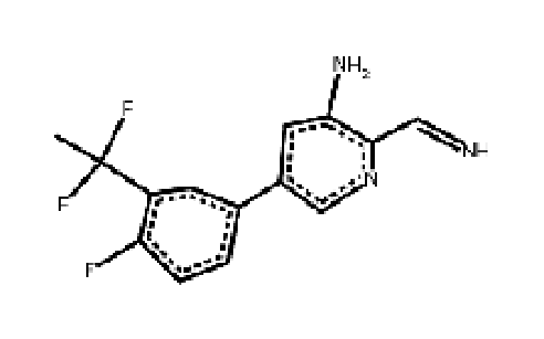 CC(F)(F)c1cc(-c2cnc(C=N)c(N)c2)ccc1F